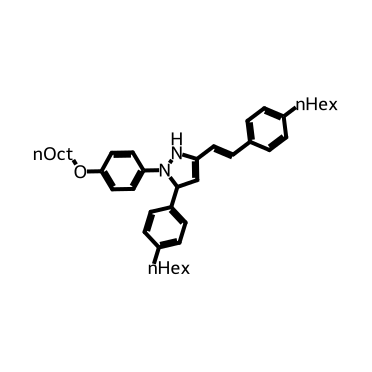 CCCCCCCCOc1ccc(N2NC(C=Cc3ccc(CCCCCC)cc3)=CC2c2ccc(CCCCCC)cc2)cc1